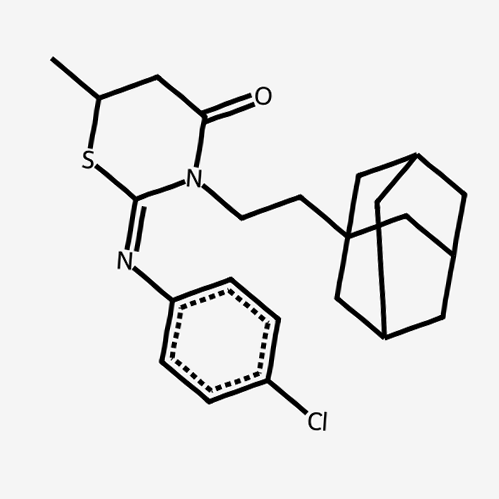 CC1CC(=O)N(CCC23CC4CC(CC(C4)C2)C3)/C(=N\c2ccc(Cl)cc2)S1